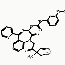 C=C[C@](C)(CO)C(=O)CN1C(=O)[C@H](NC(=O)Nc2cccc(NC)c2)N=C(c2ccccn2)c2ccccc21